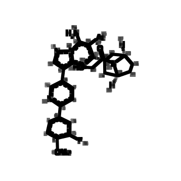 COc1ccc(-c2ccc(-c3cnn4c(N)c(C(C)=O)c([C@@H]5C[C@H]6CC[C@@H](C5)N6C(=O)CO)nc34)cn2)cc1F